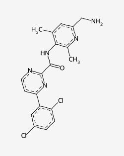 Cc1cc(CN)nc(C)c1NC(=O)c1nccc(-c2cc(Cl)ccc2Cl)n1